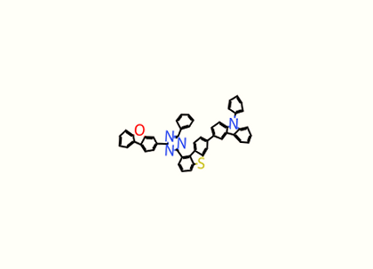 c1ccc(-c2nc(-c3ccc4c(c3)oc3ccccc34)nc(-c3cccc4sc5cc(-c6ccc7c(c6)c6ccccc6n7-c6ccccc6)ccc5c34)n2)cc1